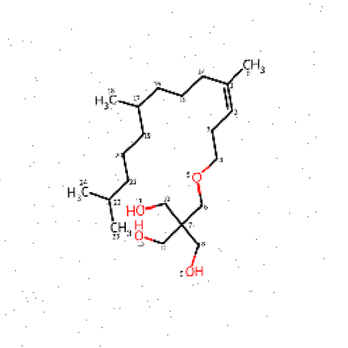 CC(=CCCOCC(CO)(CO)CO)CCCC(C)CCCC(C)C